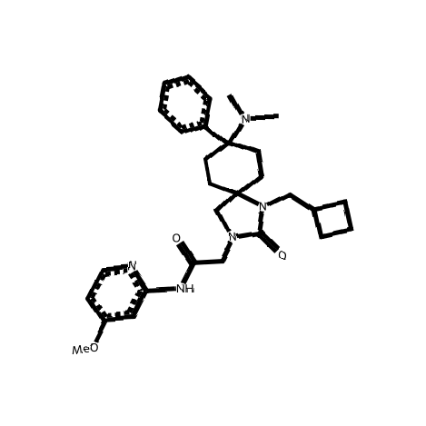 COc1ccnc(NC(=O)CN2CC3(CCC(c4ccccc4)(N(C)C)CC3)N(CC3CCC3)C2=O)c1